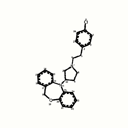 Clc1ccc(CCN2CC[C@@H](N3c4ccccc4COc4ccccc43)C2)cc1